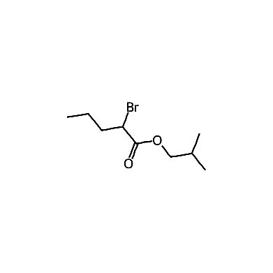 CCCC(Br)C(=O)OCC(C)C